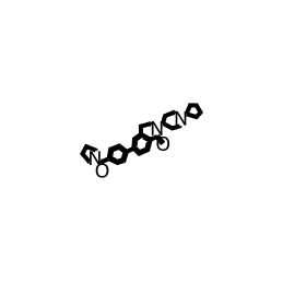 O=C(c1ccc(-c2ccc3c(c2)CCN(C2CCN(C4CCCC4)CC2)C3=O)cc1)N1CCCC1